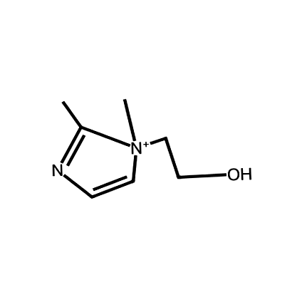 CC1=NC=C[N+]1(C)CCO